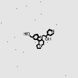 OCc1ccc2c(c1)c1c(n2CC(O)c2ccncc2)CCN2CCCC12